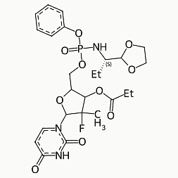 CCC(=O)OC1C(COP(=O)(N[C@@H](CC)C2OCCO2)Oc2ccccc2)OC(n2ccc(=O)[nH]c2=O)C1(C)F